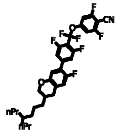 CCCC(CCC)CCCC1COc2cc(-c3cc(F)c(C(F)(F)Oc4cc(F)c(C#N)c(F)c4)c(F)c3)c(F)cc2C1